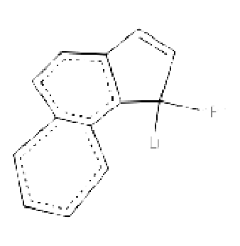 [Li][C]1(CCC)C=Cc2ccc3ccccc3c21